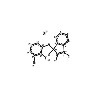 CC1=[N+](C)c2ccccc2C1(C)Cc1cccc(Br)c1F.[Br-]